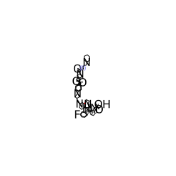 O=C(O)N[C@H]1CCC[C@@H]1[C@](CN1CCC1)(c1cccc(F)c1)C1CCN(CC2CN(c3ccc(S(=O)(=O)C4CN(C(=O)/C=C/CN5CCCCC5)C4)cc3)C2)CC1